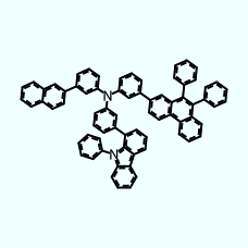 c1ccc(-c2c(-c3ccccc3)c3cc(-c4cccc(N(c5cccc(-c6ccc7ccccc7c6)c5)c5cccc(-c6cccc7c8ccccc8n(-c8ccccc8)c67)c5)c4)ccc3c3ccccc23)cc1